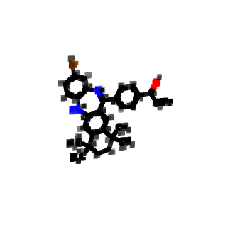 COC(=O)c1ccc(C2=Nc3cc(Br)ccc3Nc3cc4c(cc32)C(C)(C)CCC4(C)C)cc1